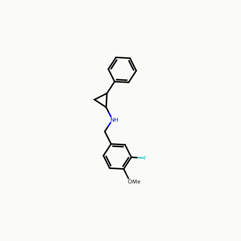 COc1ccc(CNC2CC2c2ccccc2)cc1F